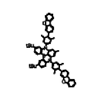 Cc1cc2c3c(c1)N(c1cc(C)c(-c4ccc5c(c4)oc4ccccc45)c(C)c1)c1cc(C(C)(C)C)ccc1B3c1cc(C(C)(C)C)ccc1N2c1cc(C)c(-c2ccc3c(c2)oc2ccccc23)c(C)c1